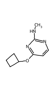 CNc1nccc(OC2CCC2)n1